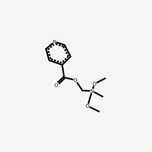 CO[Si](C)(COC(=O)c1ccncc1)OC